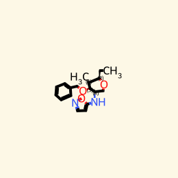 CC[C@H]1OC[C@@H](Nc2ccno2)[C@@H](OCc2ccccc2)[C@H]1C